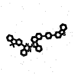 CC1(C)c2ccccc2-c2ccc(-c3nc(-n4c5ccccc5c5c6cc(-c7ccc(-c8ccc9sc%10ccccc%10c9c8)cc7)ccc6ccc54)nc4ccccc34)cc21